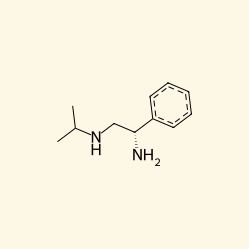 CC(C)NC[C@@H](N)c1ccccc1